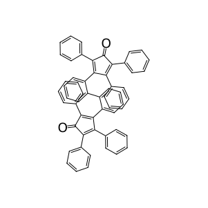 O=C1C(c2ccccc2)=C(c2ccccc2)C(c2ccccc2-c2ccccc2C2=C(c3ccccc3)C(=O)C(c3ccccc3)=C2c2ccccc2)=C1c1ccccc1